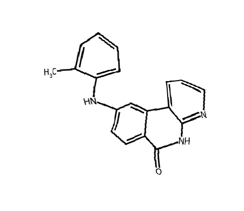 Cc1ccccc1Nc1ccc2c(=O)[nH]c3ncccc3c2c1